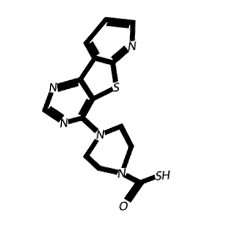 O=C(S)N1CCN(c2ncnc3c2sc2ncccc23)CC1